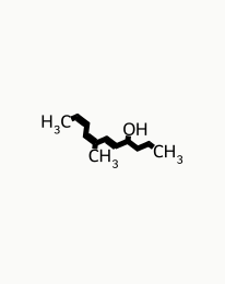 C\C=C/C=C(C)\C=C\C(O)CCC